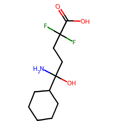 NC(O)(CCC(F)(F)C(=O)O)C1CCCCC1